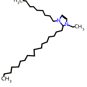 CCCCCCCCCCCCCCCCCC1N(CC)C=CN1CCCCCCCCC